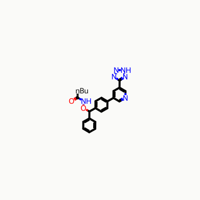 CCCCC(=O)NOC(c1ccccc1)c1ccc(-c2cncc(-c3nn[nH]n3)c2)cc1